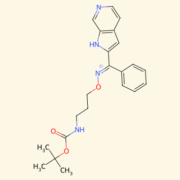 CC(C)(C)OC(=O)NCCCO/N=C(\c1ccccc1)c1cc2ccncc2[nH]1